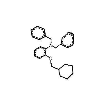 [c]1ccc(N(Cc2ccccc2)Cc2ccccc2)c(OCC2CCCCC2)c1